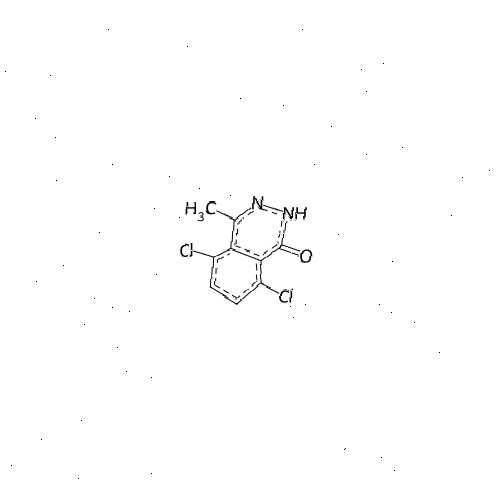 Cc1n[nH]c(=O)c2c(Cl)ccc(Cl)c12